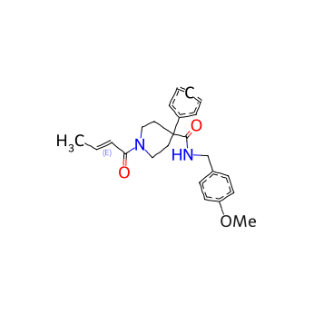 C/C=C/C(=O)N1CCC(C(=O)NCc2ccc(OC)cc2)(c2ccccc2)CC1